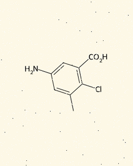 Cc1cc(N)cc(C(=O)O)c1Cl